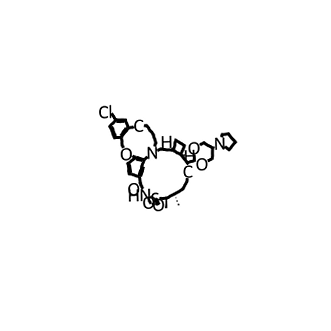 C[C@@H]1[C@@H](C)CCC[C@@H]([C@H]2OC[C@@H](N3CCCC3)CO2)[C@@H]2CC[C@H]2CN2CCCCc3cc(Cl)ccc3COc3ccc(cc32)C(=O)NS1(=O)=O